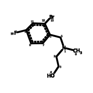 CN(CCO)Cc1ccc(F)cc1Br